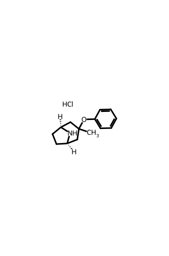 CC1(Oc2ccccc2)C[C@H]2CC[C@@H](C1)N2.Cl